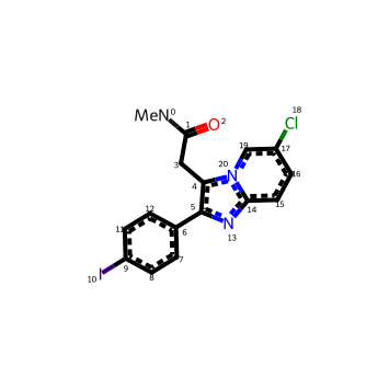 CNC(=O)Cc1c(-c2ccc(I)cc2)nc2ccc(Cl)cn12